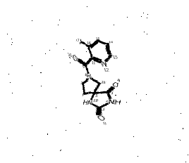 O=C1NC(=O)C2(CCN(C(=O)c3ncccc3I)C2)N1